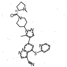 Cc1c(-c2cc(Sc3ccccn3)c3c(C#N)cnn3c2)cnn1C1CCN(C(=O)[C@@H]2CCCN2C)CC1